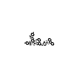 Cc1ccc(S(=O)(=O)Oc2cc(OS(=O)(=O)c3ccc(C)cc3)c(C(=O)N3Cc4ccc(CN5CCN(C(=O)OC6c7ccccc7-c7ccccc76)C(C)C5)cc4C3)c(OCc3ccccc3)c2C)cc1